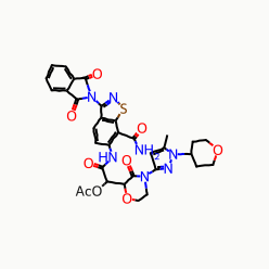 CC(=O)OC(C(=O)Nc1ccc2c(N3C(=O)c4ccccc4C3=O)nsc2c1C(N)=O)C1OCCN(c2cc(C)n(C3CCOCC3)n2)C1=O